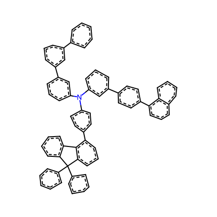 c1ccc(-c2cccc(-c3cccc(N(c4ccc(-c5cccc6c5-c5ccccc5C6(c5ccccc5)c5ccccc5)cc4)c4cccc(-c5ccc(-c6cccc7ccccc67)cc5)c4)c3)c2)cc1